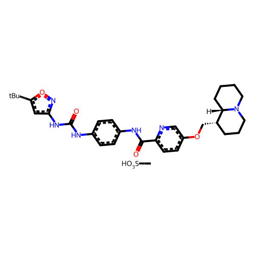 CC(C)(C)c1cc(NC(=O)Nc2ccc(NC(=O)c3ccc(OC[C@H]4CCCN5CCCC[C@@H]45)cn3)cc2)no1.CS(=O)(=O)O